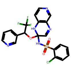 O=S(=O)(NC1(OC(c2cccnc2)C(F)(F)F)C=Nc2cnccc2N1)c1ccccc1Cl